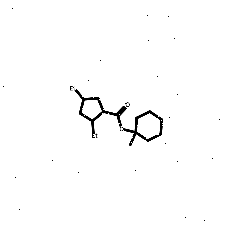 CCC1CC(CC)C(C(=O)OC2(C)CCCCC2)C1